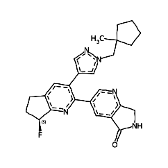 CC1(Cn2cc(-c3cc4c(nc3-c3cnc5c(c3)C(=O)NC5)[C@@H](F)CC4)cn2)CCCC1